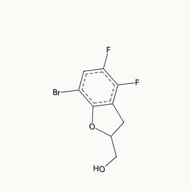 OCC1Cc2c(F)c(F)cc(Br)c2O1